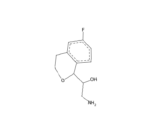 NCC(O)C1OCCc2cc(F)ccc21